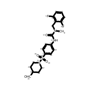 CN(Cc1c(F)cccc1F)C(=O)Nc1ccc(S(=O)(=O)N2CCC(C=O)CC2)cc1